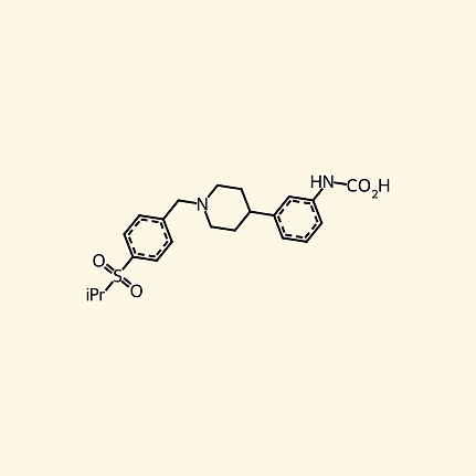 CC(C)S(=O)(=O)c1ccc(CN2CCC(c3cccc(NC(=O)O)c3)CC2)cc1